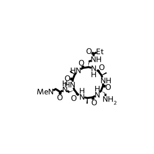 CCC(=O)NC[C@@H]1NC(=O)[C@@H](C)NC(=O)[C@H](CN)NC(=O)[C@@H](C)NC(=O)[C@H](CNC(=O)CNC)NC(=O)[C@@H](C)NC1=O